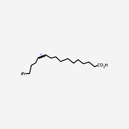 CC(C)CCC/C=C\CCCCCCCCCC(=O)O